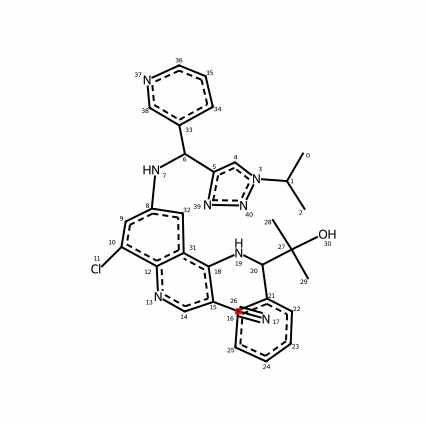 CC(C)n1cc(C(Nc2cc(Cl)c3ncc(C#N)c(NC(c4ccccc4)C(C)(C)O)c3c2)c2cccnc2)nn1